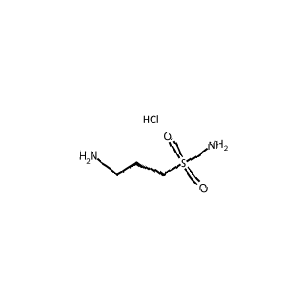 Cl.NCCCS(N)(=O)=O